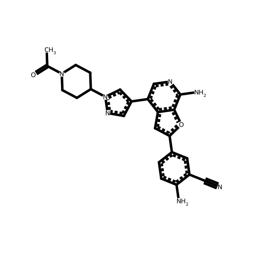 CC(=O)N1CCC(n2cc(-c3cnc(N)c4oc(-c5ccc(N)c(C#N)c5)cc34)cn2)CC1